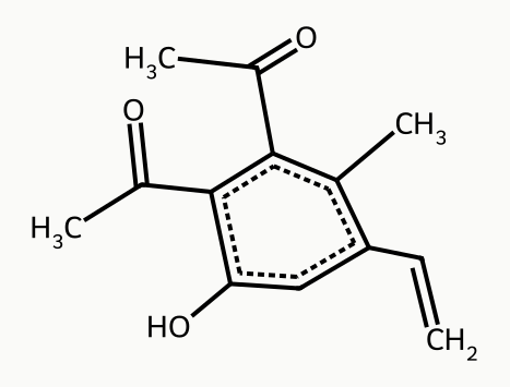 C=Cc1cc(O)c(C(C)=O)c(C(C)=O)c1C